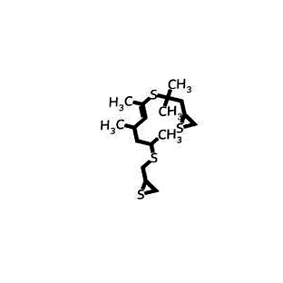 C/C(=C\C(C)CC(C)SCC1CS1)SC(C)(C)CC1CS1